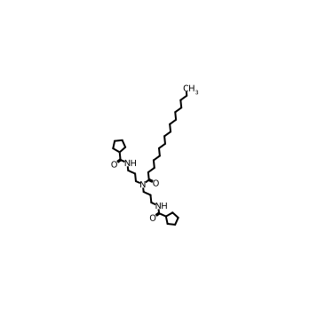 CCCCCCCCCCCCCCCC(=O)N(CCCNC(=O)C1CCCC1)CCCNC(=O)C1CCCC1